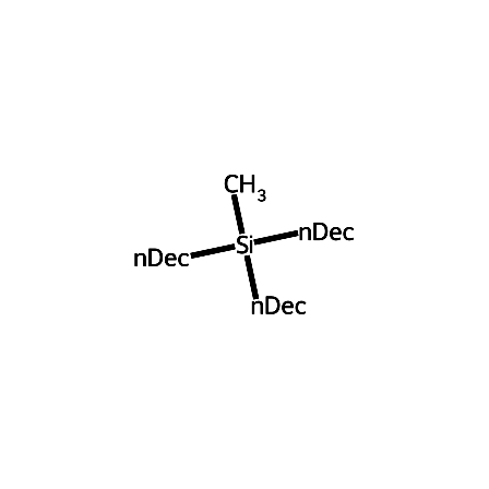 CCCCCCCCCC[Si](C)(CCCCCCCCCC)CCCCCCCCCC